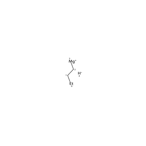 CCC[CH2][Mg+].[H-]